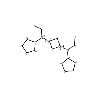 CCN(C1CCCC1)[SiH]1C[SiH](N(CC)C2CCCC2)C1